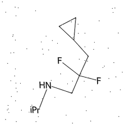 CC(C)NCC(F)(F)CC1CC1